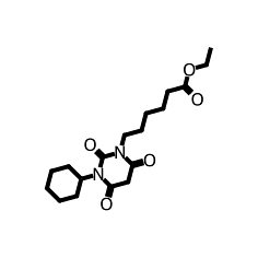 CCOC(=O)CCCCCN1C(=O)CC(=O)N(C2CCCCC2)C1=O